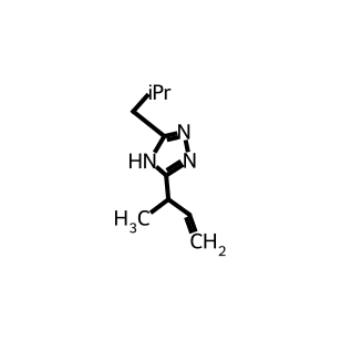 C=CC(C)c1nnc(CC(C)C)[nH]1